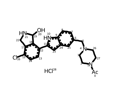 CC(=O)N1CCN(Cc2ccc3[nH]c(-c4ccc(Cl)c5c4C(O)NC5)cc3c2)CC1.Cl